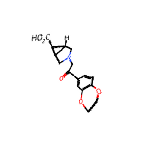 O=C(CN1CC2[C@@H](C1)[C@@H]2C(=O)O)c1ccc2c(c1)OCCO2